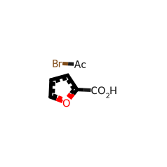 CC(=O)Br.O=C(O)c1ccco1